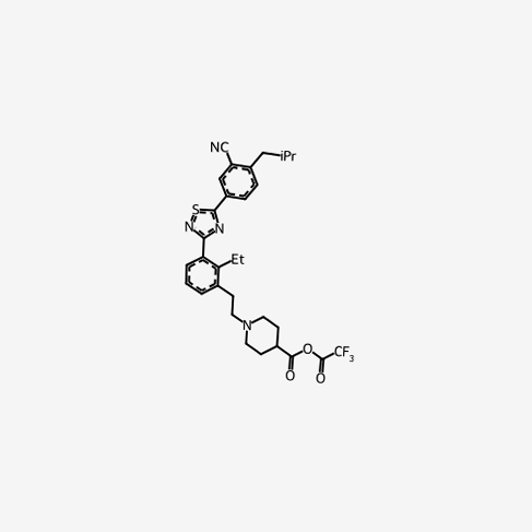 CCc1c(CCN2CCC(C(=O)OC(=O)C(F)(F)F)CC2)cccc1-c1nsc(-c2ccc(CC(C)C)c(C#N)c2)n1